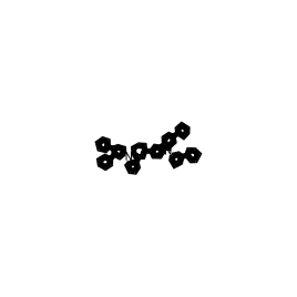 C1=CC(c2ccc3c(c2)c2ccc(-c4ccccc4)cc2n3-c2cccc(-c3ccccc3)c2)=Cc2c(n(-c3ccc(-c4ccccc4)c(-c4ccccc4)c3)c3ccccc23)C1